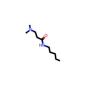 CCCCCNC(=O)CCN(C)C